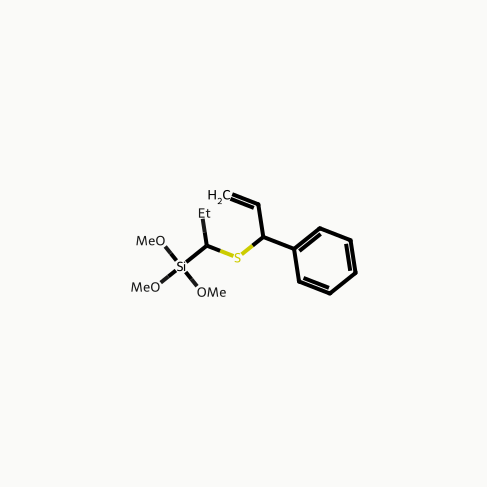 C=CC(SC(CC)[Si](OC)(OC)OC)c1ccccc1